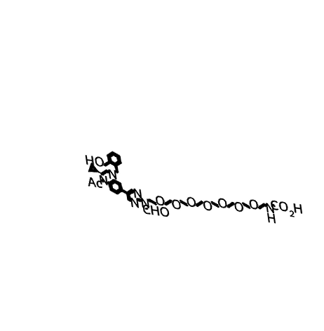 CC(=O)N1c2ccc(-c3cnc(N(C=O)CCOCCOCCOCCOCCOCCOCCOCCNC(=O)O)nc3)cc2N(Cc2ccccc2CO)C[C@@H]1C1CC1